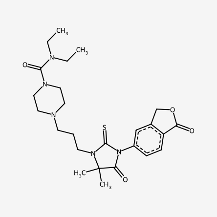 CCN(CC)C(=O)N1CCN(CCCN2C(=S)N(c3ccc4c(c3)COC4=O)C(=O)C2(C)C)CC1